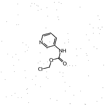 O=C(Nc1[c]nccc1)OCCl